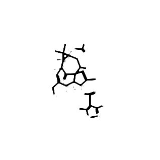 CCCC(=O)O[C@@]12CC(C)C34C=C(C)[C@H](OC(=O)c5c(CC)noc5CC)[C@@]3(O)[C@H](O)C(CO)=C[C@H](C4=O)[C@@H]1C2(C)C